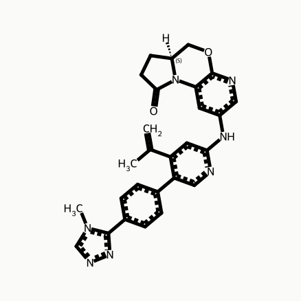 C=C(C)c1cc(Nc2cnc3c(c2)N2C(=O)CC[C@H]2CO3)ncc1-c1ccc(-c2nncn2C)cc1